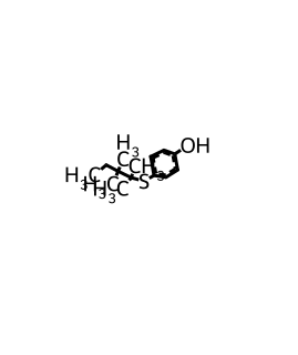 CCC(C)(C)C(C)(C)Sc1ccc(O)cc1